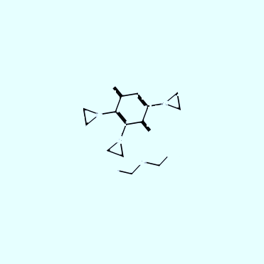 CCNCO.Cl.O=C1C=C(N2CC2)C(=O)C(N2CC2)=C1N1CC1